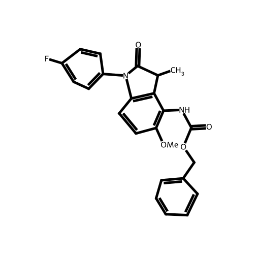 COc1ccc2c(c1NC(=O)OCc1ccccc1)C(C)C(=O)N2c1ccc(F)cc1